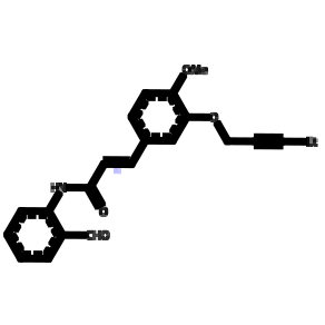 CCC#CCOc1cc(/C=C/C(=O)Nc2ccccc2C=O)ccc1OC